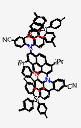 Cc1ccc([Si](c2ccc(C)cc2)(c2ccc(C)cc2)c2ccc(-c3cc(C#N)ccc3N(c3cc(C(C)C)c4ccc5c(N(c6ccc(C#N)cc6-c6ccc([Si](c7ccc(C)cc7)(c7ccc(C)cc7)c7ccc(C)cc7)cc6)c6cccc7c6oc6ccccc67)cc(C(C)C)c6ccc3c4c65)c3cccc4c3oc3ccccc34)cc2)cc1